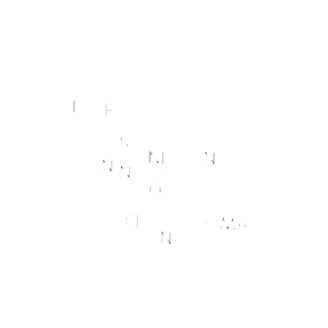 COc1cnc(Cl)cc1-c1cc(C)ncc1C(=O)Nc1nnc(CC(F)F)s1